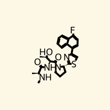 CN[C@@H](C)C(=O)N[C@H](C(=O)N1CCC[C@H]1c1nc(-c2ccc(F)c3ccccc23)cs1)[C@@H](C)O